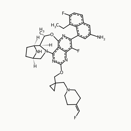 CCc1c(F)ccc2cc(N)cc(-c3nc4c5c(nc(OCC6(CN7CCC(=CF)CC7)CC6)nc5c3F)N3C[C@H]5CC[C@H](N5)[C@H]3[C@H](C)O4)c12